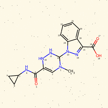 CN1C=C(C(=O)NC2CC2)NNC1n1nc(C(=O)O)c2ccccc21